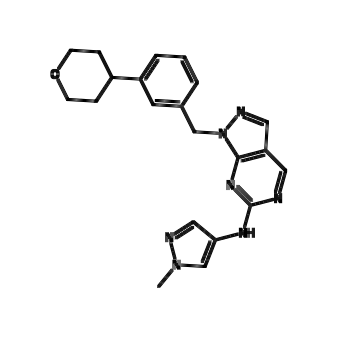 Cn1cc(Nc2ncc3cnn(Cc4cccc(C5CCOCC5)c4)c3n2)cn1